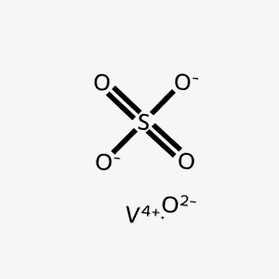 O=S(=O)([O-])[O-].[O-2].[V+4]